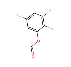 O=COc1cc(F)cc(F)c1F